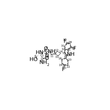 NC(=O)[C@H](CO)NS(=O)(=O)NC[C@H]1C[C@H](c2c(-c3ccc(F)cc3)[nH]c3c(F)cc(F)cc32)C1